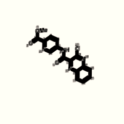 COC(=O)c1ccc(NC(=O)c2nc3ccccc3nc2Cl)cn1